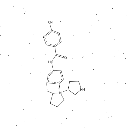 Cc1cc(NC(=O)c2ccc(C#N)cc2)ccc1[N+]1(C2CCNC2)CCCC1C